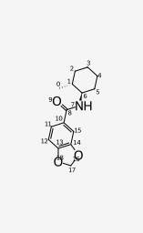 C[C@@H]1CCCC[C@H]1NC(=O)c1ccc2c(c1)OCO2